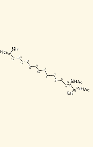 CC[C@@H](NC(C)=O)[C@H](CCCCCCCCCCCCCC(O)O)NC(C)=O